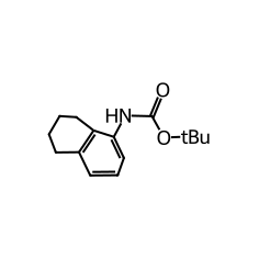 CC(C)(C)OC(=O)Nc1cccc2c1CCCC2